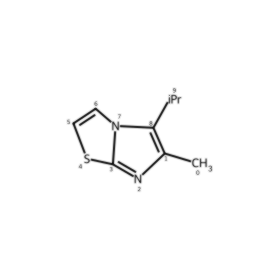 Cc1nc2sccn2c1C(C)C